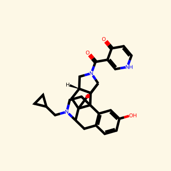 O=C(c1c[nH]ccc1=O)N1C[C@H]2CC34CCC1C2C31CCN(CC2CC2)C4Cc2ccc(O)cc21